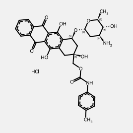 Cc1ccc(NC(=O)OC[C@]2(O)Cc3c(O)c4c(c(O)c3[C@@H](O[C@H]3C[C@H](N)[C@@H](O)[C@H](C)O3)C2)C(=O)c2ccccc2C4=O)cc1.Cl